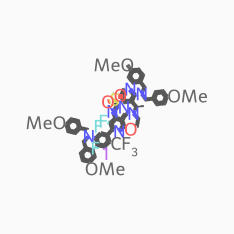 COc1ccc(CN(Cc2ccc(OC)cc2)c2ncccc2[C@@H](C)N2CCOc3nc(-c4c(F)c(N(Cc5ccc(OC)cc5)Cc5ccc(OC)cc5)c(F)c(I)c4C(F)(F)F)c(F)c4nc(S(C)(=O)=O)nc2c34)cc1